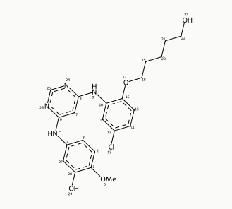 COc1ccc(Nc2cc(Nc3cc(Cl)ccc3OCC[CH]CCO)ncn2)cc1O